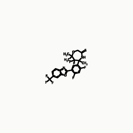 CC1(C)OCC(=S)NC(C)(c2cc(-c3nc4ccc(C(F)(F)F)cc4o3)c(F)cc2F)C1(F)F